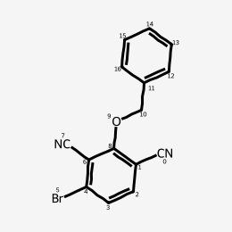 N#Cc1ccc(Br)c(C#N)c1OCc1ccccc1